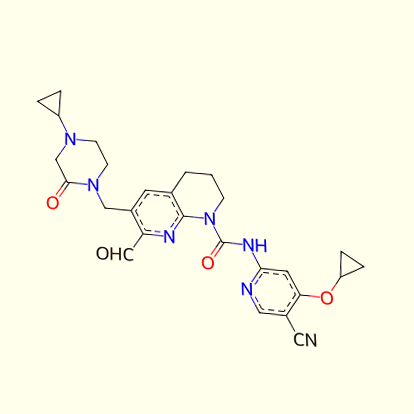 N#Cc1cnc(NC(=O)N2CCCc3cc(CN4CCN(C5CC5)CC4=O)c(C=O)nc32)cc1OC1CC1